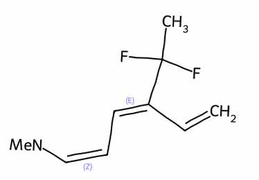 C=C/C(=C\C=C/NC)C(C)(F)F